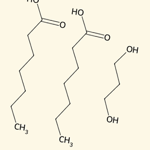 CCCCCCC(=O)O.CCCCCCC(=O)O.OCCCO